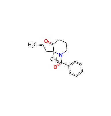 C=CC[C@@]1(C)C(=O)CCCN1C(=O)c1ccccc1